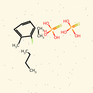 CC.CCCC.Cc1ccccc1F.OP(O)(O)=S.OP(O)(O)=S